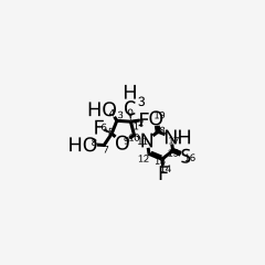 C[C@@]1(F)C(O)[C@@](F)(CO)O[C@H]1n1cc(F)c(=S)[nH]c1=O